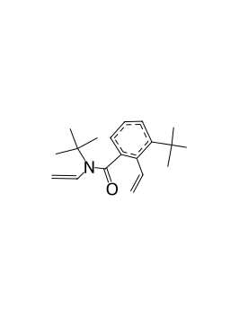 C=Cc1c(C(=O)N(C=C)C(C)(C)C)cccc1C(C)(C)C